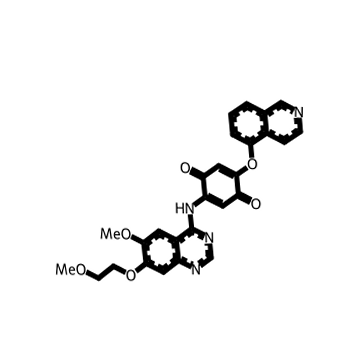 COCCOc1cc2ncnc(NC3=CC(=O)C(Oc4cccc5cnccc45)=CC3=O)c2cc1OC